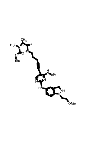 CCCNc1nc(Nc2ccc3c(c2)CNN3CCOC)ncc1C#CCCCNC(=O)[C@H](C)N(C)C(=O)OC(C)(C)C